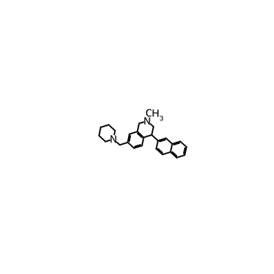 CN1Cc2cc(CN3CCCCC3)ccc2C(c2ccc3ccccc3c2)C1